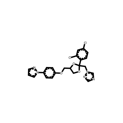 Clc1ccc(C2(Cn3cncn3)OCC(COc3ccc(-n4cccn4)cc3)O2)c(Cl)c1